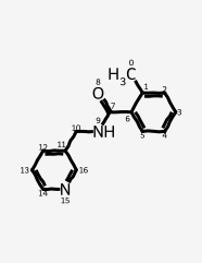 Cc1ccccc1C(=O)NCc1cccnc1